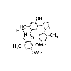 COc1cc(C)c(CN(C)C(=O)c2cc(-c3ccnn3-c3ccccc3C)c(O)cc2O)cc1OC